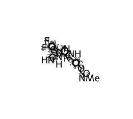 CNC(=O)COc1ccc(-c2nc3c(N[C@@]4(Cc5ccc(F)c(F)c5)CCNC4)c(Cl)cnc3[nH]2)cc1